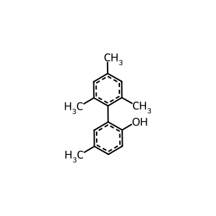 Cc1cc(C)c(-c2cc(C)ccc2O)c(C)c1